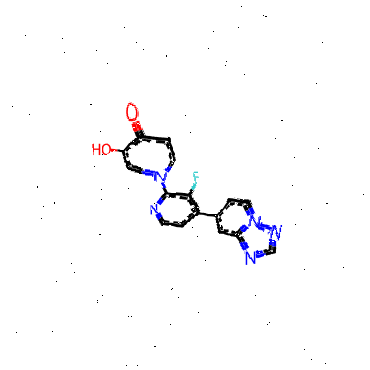 O=c1ccn(-c2nccc(-c3ccn4ncnc4c3)c2F)cc1O